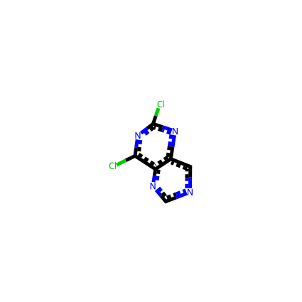 Clc1nc(Cl)c2ncncc2n1